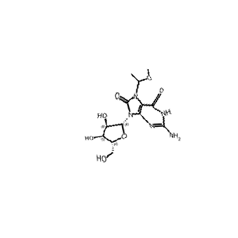 COC(C)n1c(=O)n([C@@H]2O[C@H](CO)[C@@H](O)[C@H]2O)c2nc(N)[nH]c(=O)c21